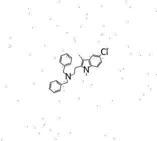 Cc1c(CCN(Cc2ccccc2)Cc2ccccc2)n(C)c2ccc(Cl)cc12